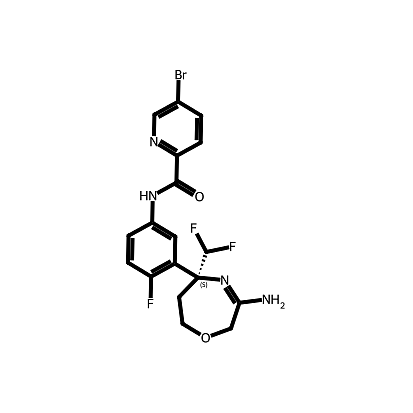 NC1=N[C@@](c2cc(NC(=O)c3ccc(Br)cn3)ccc2F)(C(F)F)CCOC1